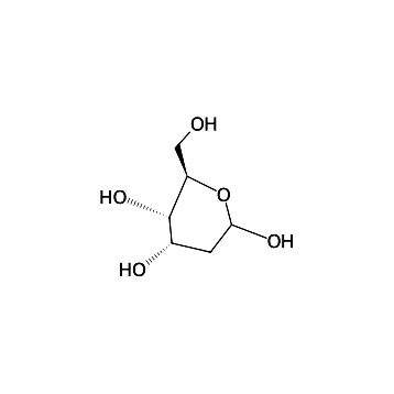 OC[C@H]1OC(O)C[C@H](O)[C@@H]1O